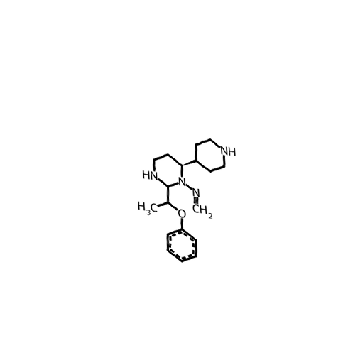 C=NN1C(C(C)Oc2ccccc2)NCC[C@H]1C1CCNCC1